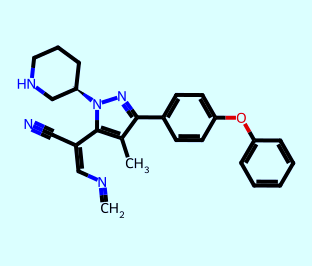 C=N/C=C(/C#N)c1c(C)c(-c2ccc(Oc3ccccc3)cc2)nn1[C@@H]1CCCNC1